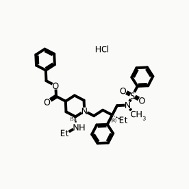 CCN[C@@H]1CC(C(=O)OCc2ccccc2)CCN1CC[C@@](CC)(CN(C)S(=O)(=O)c1ccccc1)c1ccccc1.Cl